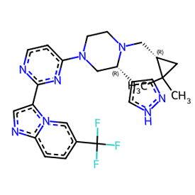 CC1(C)C[C@H]1CN1CCN(c2ccnc(-c3cnc4ccc(C(F)(F)F)cn34)n2)C[C@H]1c1cn[nH]c1